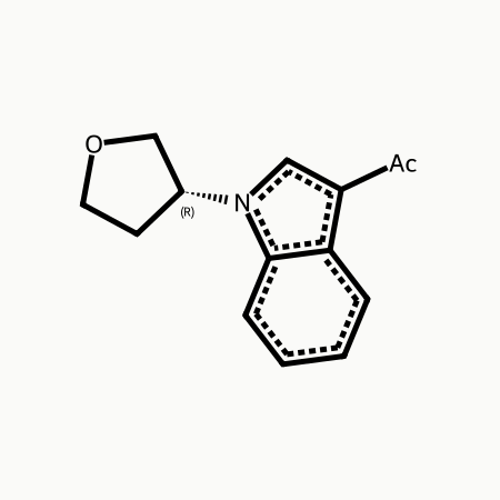 CC(=O)c1cn([C@@H]2CCOC2)c2ccccc12